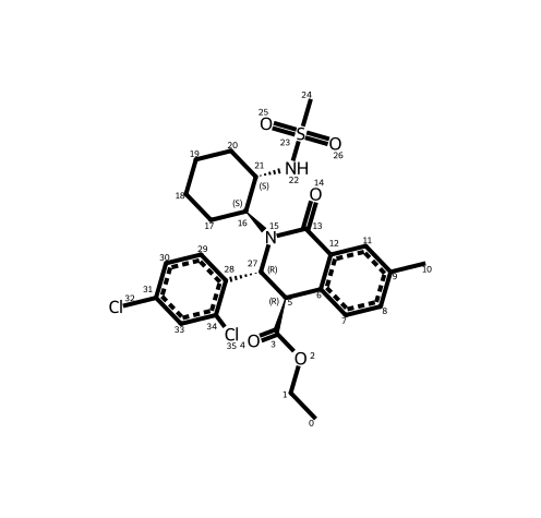 CCOC(=O)[C@@H]1c2ccc(C)cc2C(=O)N([C@H]2CCCC[C@@H]2NS(C)(=O)=O)[C@H]1c1ccc(Cl)cc1Cl